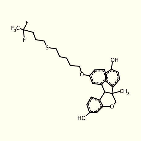 CC1(c2ccc(O)cc2)COc2cc(O)ccc2C1c1cccc(OCCCCCSCCCC(F)(F)C(F)(F)F)c1